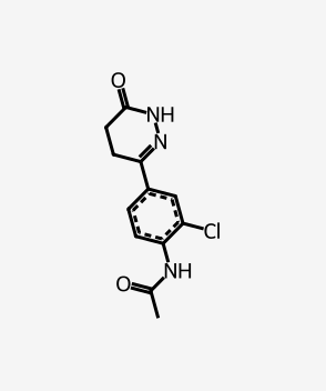 CC(=O)Nc1ccc(C2=NNC(=O)CC2)cc1Cl